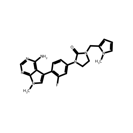 Cn1cccc1CN1CCN(c2ccc(-c3cn(C)c4ncnc(N)c34)c(F)c2)C1=O